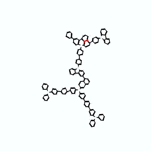 c1ccc(-c2ccc(N(c3ccc(-c4ccc(-n5c6ccccc6c6ccccc65)cc4)cc3)c3ccc(-c4ccc(-n5c6ccccc6c6cc(-c7cccc8cc(N(c9ccc(-c%10ccc(-c%11ccc(N(c%12ccccc%12)c%12ccccc%12)cc%11)cc%10)cc9)c9ccc(-c%10ccc(-c%11ccc(N(c%12ccccc%12)c%12ccccc%12)cc%11)cc%10)cc9)ccc78)ccc65)cc4)cc3)c(-c3ccccc3)c2)cc1